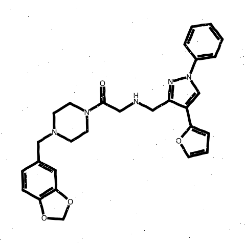 O=C(CNCc1nn(-c2ccccc2)cc1-c1ccco1)N1CCN(Cc2ccc3c(c2)OCO3)CC1